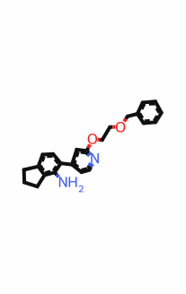 Nc1c(-c2ccnc(OCCOCc3ccccc3)c2)ccc2c1CCC2